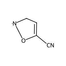 N#CC1=CC[N]O1